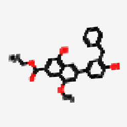 CCOC(=O)c1cc(O)c2cc(-c3ccc(O)c(Cc4ccccc4)c3)cc(OC)c2c1